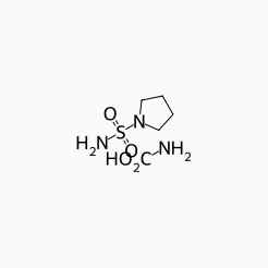 NC(=O)O.NS(=O)(=O)N1CCCC1